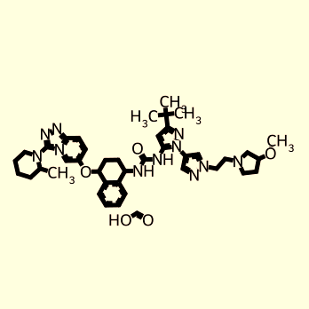 COC1CCN(CCn2cc(-n3nc(C(C)(C)C)cc3NC(=O)NC3CCC(Oc4ccc5nnc(N6CCCCC6C)n5c4)c4ccccc43)cn2)C1.O=CO